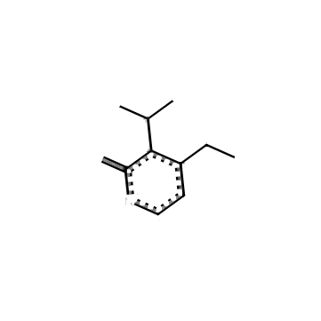 CCc1cc[nH]c(=O)c1C(C)C